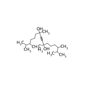 CC(C)C(C)CCCC(C)(O)C#CC(C)(O)CCCC(C)C(C)C